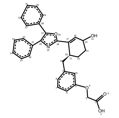 O=C(O)COc1cccc(C[C@@H]2CCC(O)C=C2c2nc(-c3ccccc3)c(-c3ccccc3)o2)c1